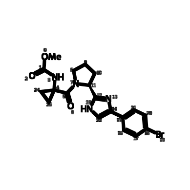 COC(=O)NC1(C(=O)N2CCC[C@H]2c2nc(-c3ccc(Br)cc3)c[nH]2)CC1